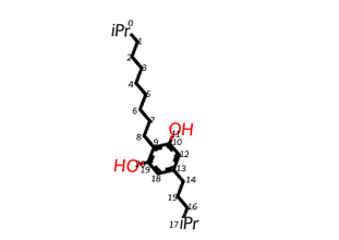 CC(C)CCCCCCCCc1c(O)cc(CCCC(C)C)cc1O